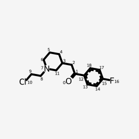 O=C(CC1CCCN(CCCl)C1)c1ccc(F)cc1